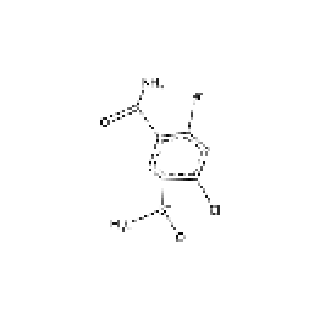 C[S+]([O-])c1cc(C(N)=O)c(Br)cc1Cl